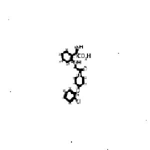 N=C(C(=O)O)C1=C(NCC(=O)N2CCC(Oc3ccccc3Cl)CC2)CCCC1